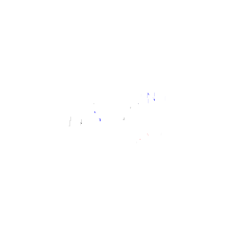 CCN(CC)CC1CNCCO1